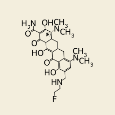 CN(C)c1cc(CNCCF)c(O)c2c1CC1CC3C(C(=O)C(C(N)=O)=C(O)[C@@H]3N(C)C)C(O)=C1C2=O